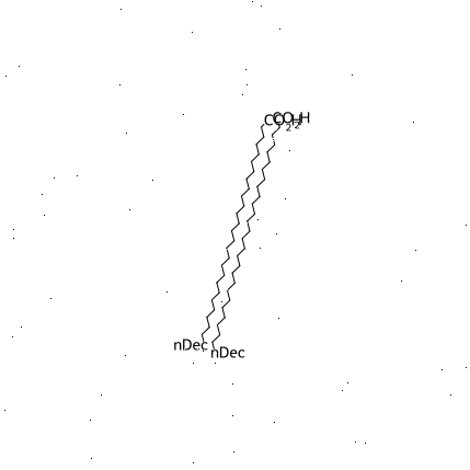 CCCCCCCCCCCCCCCCCCCCCCCCCCCCCCCCCCCC(=O)O.CCCCCCCCCCCCCCCCCCCCCCCCCCCCCCCCCCCCC(=O)O